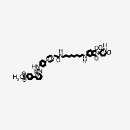 CS(=O)(=O)c1ccc(-c2cccc3nc(Nc4ccc(N5CCN(CC(=O)NCCCCCCCCNc6ccc7c(c6)C(=O)N(C6CCC(=O)NC6=O)C7=O)CC5)cc4)nn23)cc1